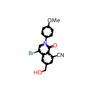 COc1ccc(-n2cc(Br)c3cc(CO)cc(C#N)c3c2=O)cc1